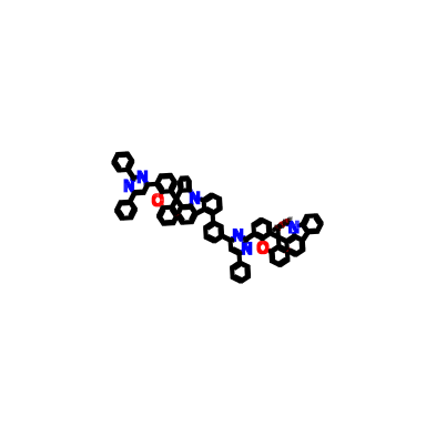 c1ccc(-c2cc(-c3cccc4c3Oc3ccccc3C43c4ccccc4-n4c5cccc(-c6cccc(-c7cc(-c8ccccc8)nc(-c8cccc9c8Oc8ccccc8C98c9ccccc9-n9c%10ccccc%10c%10cccc8c%109)n7)c6)c5c5cccc3c54)nc(-c3ccccc3)n2)cc1